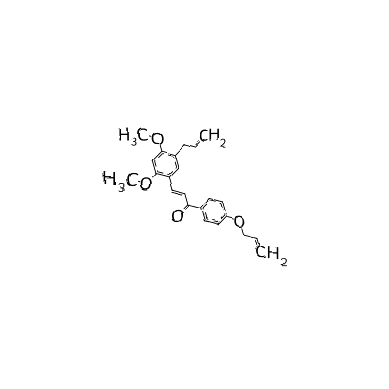 C=CCOc1ccc(C(=O)/C=C/c2cc(CC=C)c(OC)cc2OC)cc1